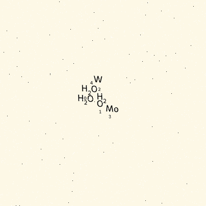 O.O.O.[Mo].[W]